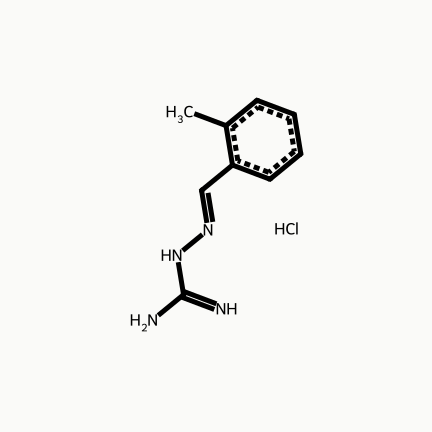 Cc1ccccc1C=NNC(=N)N.Cl